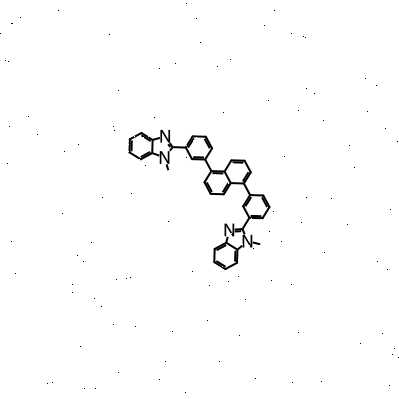 Cn1c(-c2cccc(-c3cccc4c(-c5cccc(-c6nc7ccccc7n6C)c5)cccc34)c2)nc2ccccc21